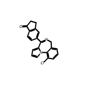 O=C1CCc2cc(C3=NCc4cccc(Cl)c4-n4cccc43)ccc21